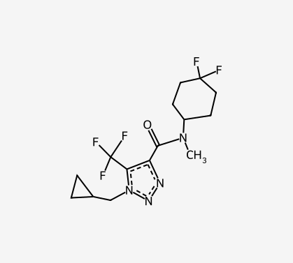 CN(C(=O)c1nnn(CC2CC2)c1C(F)(F)F)C1CCC(F)(F)CC1